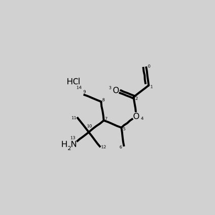 C=CC(=O)OC(C)C(CC)C(C)(C)N.Cl